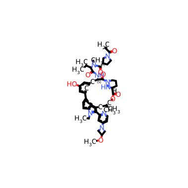 C=CC(=O)N1CC[C@H](C(=O)N(C)C(C(=O)N[C@H]2Cc3cc(O)cc(c3)-c3ccc4c(c3)c(c(-c3cc(N5CC(OC)C5)ccn3)n4CC)CC(C)(C)COC(=O)[C@@H]3CCCN(N3)C2=O)C(C)C)C1